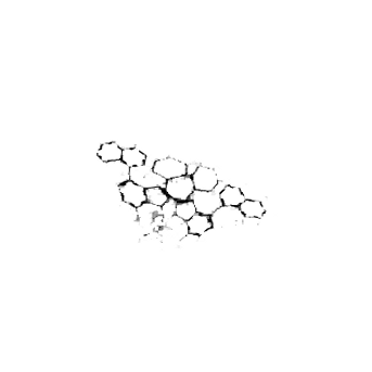 Cc1ccc(-c2cccc3ccccc23)c2c1[CH]([Zr]([Cl])([Cl])([CH]1C(CC3CCCCC3)=Cc3c(-c4cccc5ccccc45)ccc(C)c31)[SiH](C)C)C(CC1CCCCC1)=C2